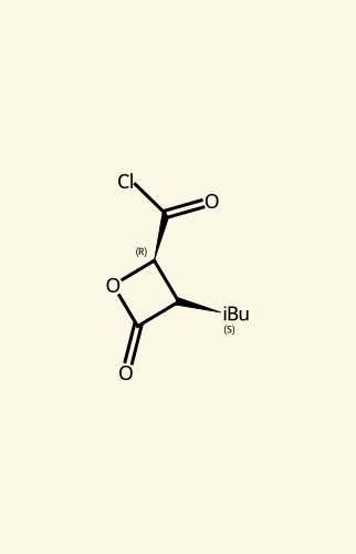 CC[C@H](C)C1C(=O)O[C@H]1C(=O)Cl